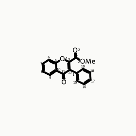 COC(=O)c1oc2ccccc2c(=O)c1-c1ccccc1